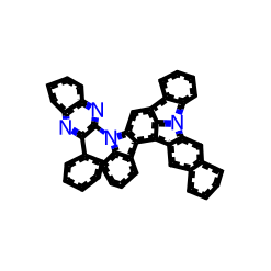 c1ccc(-c2nc3ccccc3nc2-n2c3ccccc3c3c4c5cc6ccccc6cc5n5c6ccccc6c(cc32)c45)cc1